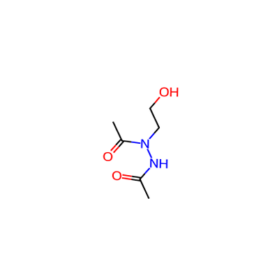 CC(=O)NN(CCO)C(C)=O